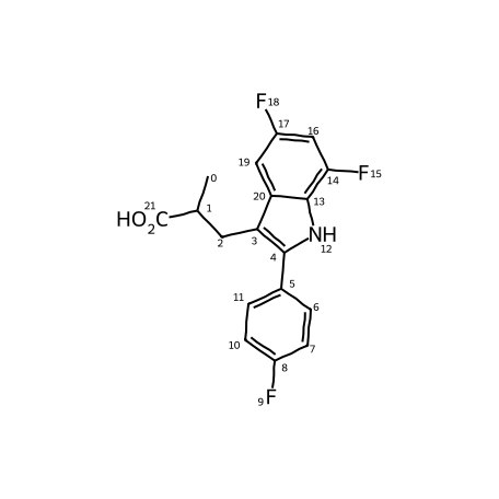 CC(Cc1c(-c2ccc(F)cc2)[nH]c2c(F)cc(F)cc12)C(=O)O